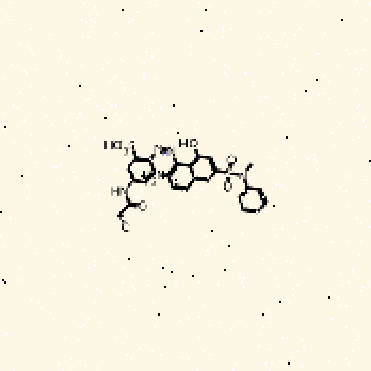 CN(c1ccccc1)S(=O)(=O)c1cc(O)c2c(/N=N\c3ccc(NC(=O)CCl)cc3S(=O)(=O)O)c(N)ccc2c1